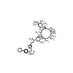 CC[C@H]1OC(=O)[C@H](C)[C@@H](O[C@H]2C[C@@](C)(OC)[C@@H](O)[C@H](C)O2)[C@H](C)[C@@H](O[C@H]2C[C@@H](N(C)CCc3cn([C@H](CF)[C@H](OC)c4ccc(C5CCOCC5)cc4)nn3)C[C@@H](C)O2)[C@](C)(O)C[C@@H](C)CN(C)[C@H](C)[C@@H](O)[C@]1(C)O